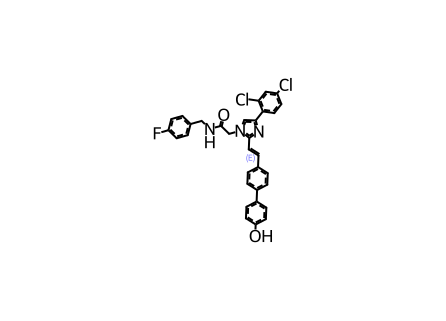 O=C(Cn1cc(-c2ccc(Cl)cc2Cl)nc1/C=C/c1ccc(-c2ccc(O)cc2)cc1)NCc1ccc(F)cc1